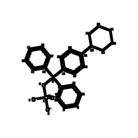 [O-][Cl+3]([O-])([O-])OS(c1ccccc1)(c1ccccc1)c1ccc(C2CCCCC2)cc1